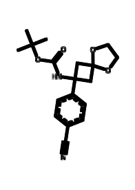 CC(C)(C)OC(=O)NC1(c2ccc(C#N)cc2)CC2(C1)OCCO2